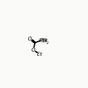 Br.CCOC(=O)P